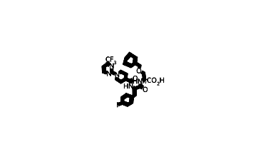 O=C(N[C@H](COCc1ccccc1)C(=O)O)C(=Cc1ccc(I)cc1)NC(=O)C1CCN(c2nccc(C(F)(F)F)n2)CC1